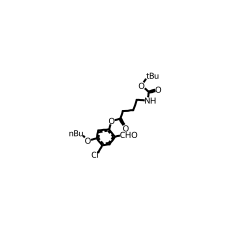 CCCCOc1cc(OC(=O)CCCNC(=O)OC(C)(C)C)c(C=O)cc1Cl